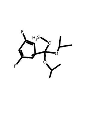 CC(C)OC(O[SiH3])(OC(C)C)c1cc(F)cc(F)c1